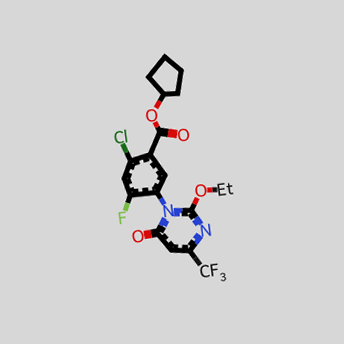 CCOc1nc(C(F)(F)F)cc(=O)n1-c1cc(C(=O)OC2CCCC2)c(Cl)cc1F